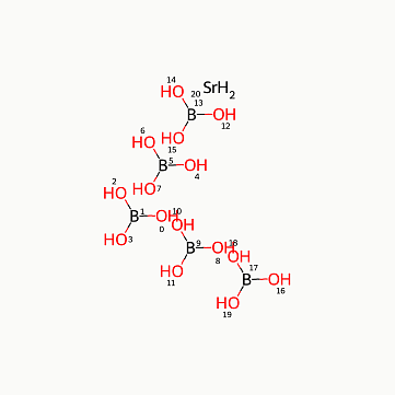 OB(O)O.OB(O)O.OB(O)O.OB(O)O.OB(O)O.[SrH2]